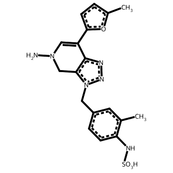 Cc1ccc(C2=CN(N)Cc3c2nnn3Cc2ccc(NS(=O)(=O)O)c(C)c2)o1